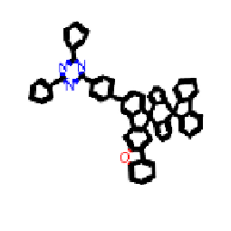 c1ccc(-c2nc(-c3ccccc3)nc(-c3ccc(-c4ccc5c(c4)-c4cc6oc7ccccc7c6cc4C54c5ccccc5C5(c6ccccc6-c6ccccc65)c5ccccc54)cc3)n2)cc1